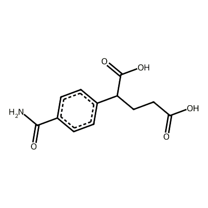 NC(=O)c1ccc(C(CCC(=O)O)C(=O)O)cc1